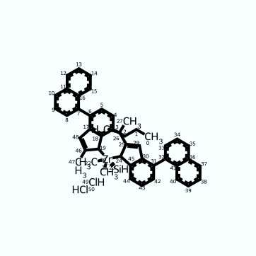 CCCc1ccc(-c2cccc3ccccc23)c2c1[CH]([Zr]([CH3])([CH3])(=[SiH2])[CH]1C(C(C)C)=Cc3c(-c4cccc5ccccc45)cccc31)C(C)=C2.Cl.Cl